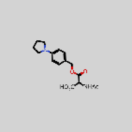 CC(=O)NC(C(=O)O)C(=O)OCc1ccc(N2CCCC2)cc1